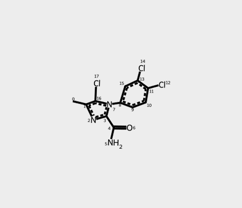 Cc1nc(C(N)=O)n(-c2ccc(Cl)c(Cl)c2)c1Cl